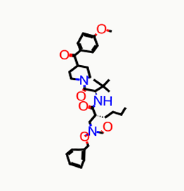 CCCC[C@H](CN(C=O)OCc1ccccc1)C(=O)N[C@H](C(=O)N1CCC(C(=O)c2ccc(OC)cc2)CC1)C(C)(C)C